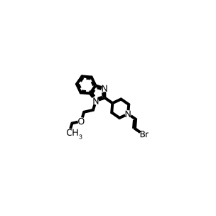 CCOCCn1c(C2CCN(C=CBr)CC2)nc2ccccc21